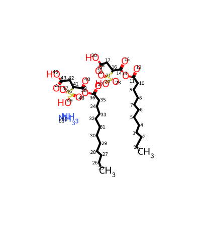 CCCCCCCCCCCC(=O)OC(=O)C(CC(=O)O)S(=O)(=O)O.CCCCCCCCCCCC(=O)OC(=O)C(CC(=O)O)S(=O)(=O)O.N.N